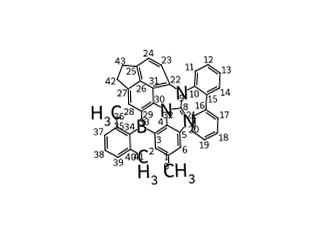 Cc1cc2c3c(c1)nc1n(-c4ccccc4-c4ccccc4)c4ccc5c6c(cc(c(c64)n31)B2c1c(C)cccc1C)CC5